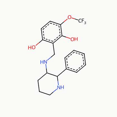 Oc1ccc(OC(F)(F)F)c(O)c1CNC1CCCNC1c1ccccc1